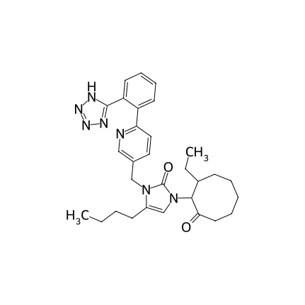 CCCCc1cn(C2C(=O)CCCCCC2CC)c(=O)n1Cc1ccc(-c2ccccc2-c2nnn[nH]2)nc1